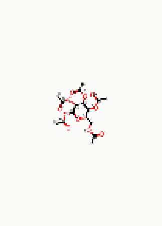 CC(=O)OCCC(OC(C)=O)C(OC(C)=O)C(OC(C)=O)C(O)OC(C)=O